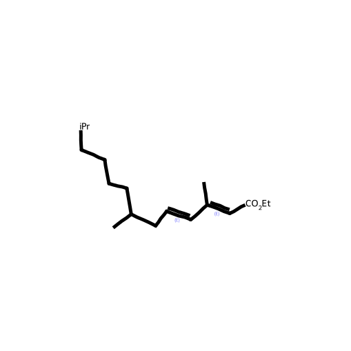 CCOC(=O)/C=C(C)/C=C/CC(C)CCCCC(C)C